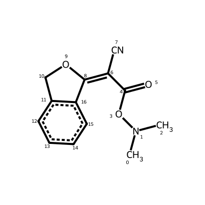 CN(C)OC(=O)C(C#N)=C1OCc2ccccc21